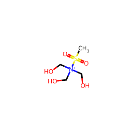 CS(=O)(=O)[N+](CO)(CO)CO